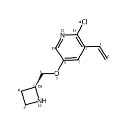 C=Cc1cc(OC[C@@H]2CCN2)cnc1Cl